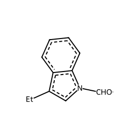 CCc1cn([C]=O)c2ccccc12